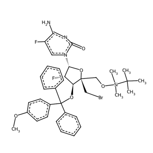 COc1ccc(C(O[C@H]2[C@H](F)[C@H](n3cc(F)c(N)nc3=O)O[C@]2(CBr)CO[Si](C)(C)C(C)(C)C)(c2ccccc2)c2ccccc2)cc1